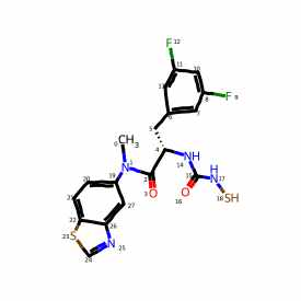 CN(C(=O)[C@H](Cc1cc(F)cc(F)c1)NC(=O)NS)c1ccc2scnc2c1